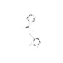 Cn1nccc1COC(=O)n1ccnc1